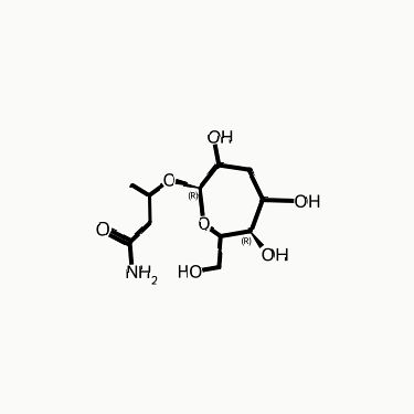 CC(CC(N)=O)O[C@@H]1OC(CO)[C@H](O)C(O)CC1O